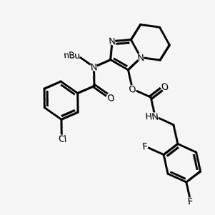 CCCCN(C(=O)c1cccc(Cl)c1)c1nc2n(c1OC(=O)NCc1ccc(F)cc1F)CCCC2